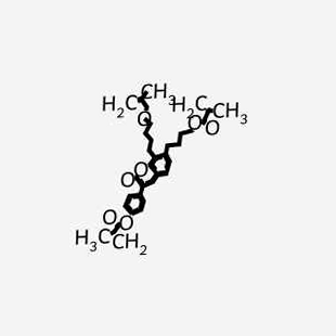 C=C(C)COCCCCc1c(CCCCOC(=O)C(=C)C)ccc2cc(-c3ccc(OC(=O)C(=C)C)cc3)c(=O)oc12